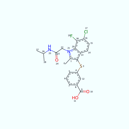 Cc1c(Sc2cccc(C(=O)O)c2)c2ccc(Cl)c(F)c2n1CC(=O)NC(C)C